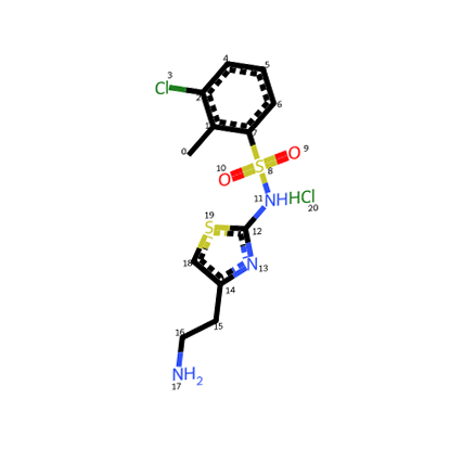 Cc1c(Cl)cccc1S(=O)(=O)Nc1nc(CCN)cs1.Cl